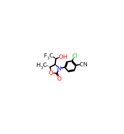 C[C@H]1OC(=O)N(c2ccc(C#N)c(Cl)c2)[C@@H]1[C@H](O)C(F)(F)F